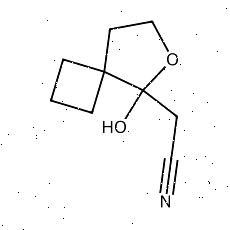 N#CCC1(O)OCCC12CCC2